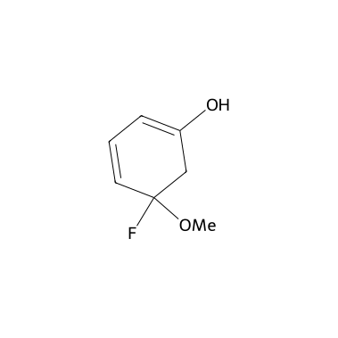 COC1(F)C=CC=C(O)C1